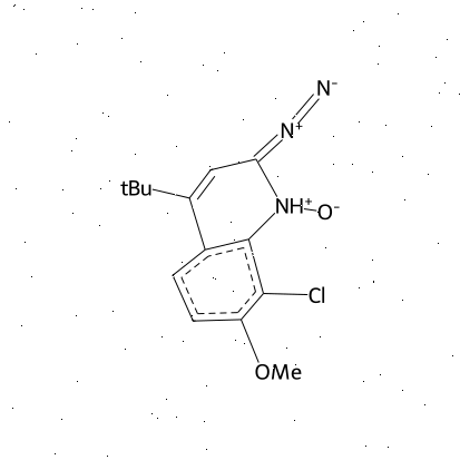 [CH2]C(C)(C)C1=CC(=[N+]=[N-])[NH+]([O-])c2c1ccc(OC)c2Cl